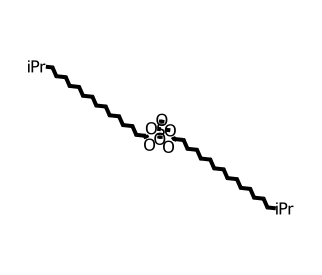 CC(C)CCCCCCCCCCCCCCC(=O)OS(=O)(=O)OC(=O)CCCCCCCCCCCCCCC(C)C